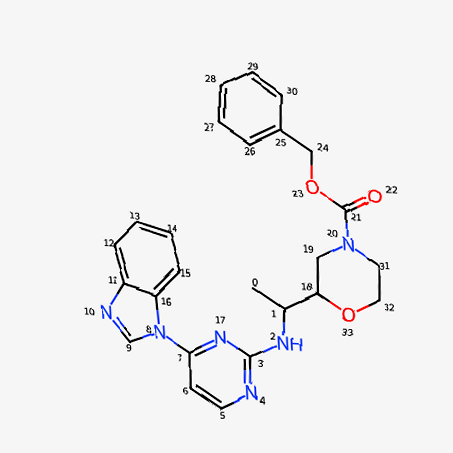 CC(Nc1nccc(-n2cnc3ccccc32)n1)C1CN(C(=O)OCc2ccccc2)CCO1